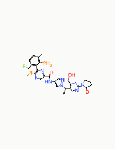 CPC(F)c1ccc(C)c(P)c1-c1cncc(C(=O)Nc2cnn(C(C)c3cnc(N4CCCC4=O)nc3CO)c2)n1